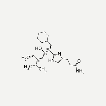 C=C[C@@H](C[C@@H](O)[C@@H](CC1CCCCC1)c1nc(CCC(N)=O)c[nH]1)C(C)C